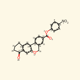 O=C(Oc1ccc([N+](=O)[O-])cc1)c1ccc2c(c1)COc1cc3c(cc1-2)CCCC3=O